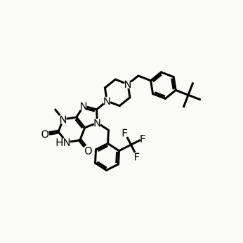 Cn1c(=O)[nH]c(=O)c2c1nc(N1CCN(Cc3ccc(C(C)(C)C)cc3)CC1)n2Cc1ccccc1C(F)(F)F